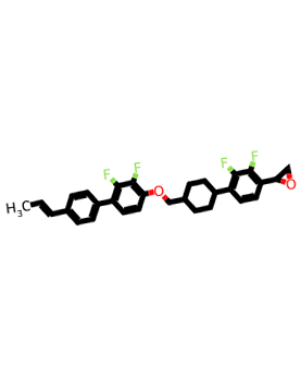 C/C=C/c1ccc(-c2ccc(OCC3CCC(c4ccc(C5CO5)c(F)c4F)CC3)c(F)c2F)cc1